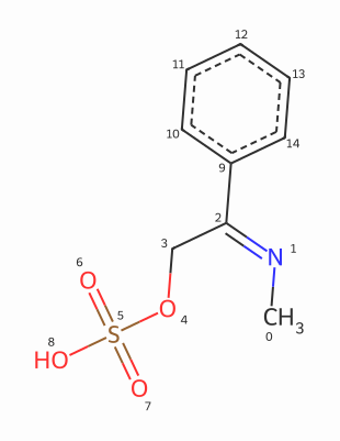 CN=C(COS(=O)(=O)O)c1ccccc1